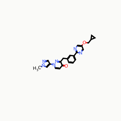 Cn1cc(-n2ccc(=O)c(Cc3cccc(-c4ncc(OCC5CC5)cn4)c3)n2)cn1